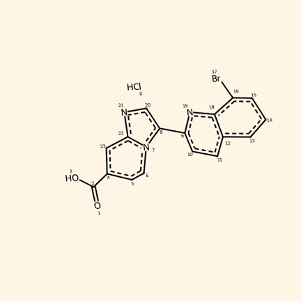 Cl.O=C(O)c1ccn2c(-c3ccc4cccc(Br)c4n3)cnc2c1